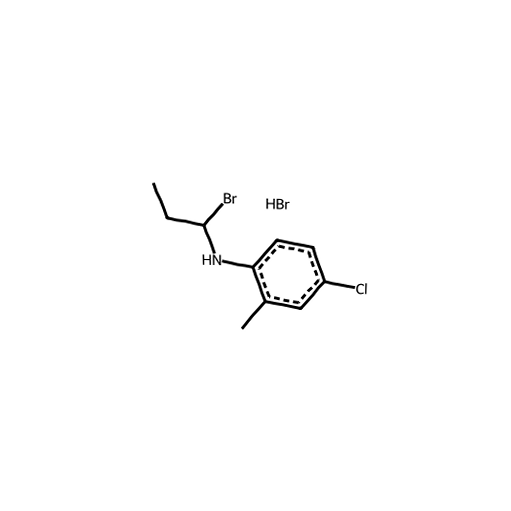 Br.CCC(Br)Nc1ccc(Cl)cc1C